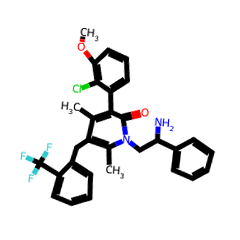 COc1cccc(-c2c(C)c(Cc3ccccc3C(F)(F)F)c(C)n(CC(N)c3ccccc3)c2=O)c1Cl